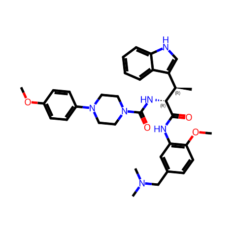 COc1ccc(N2CCN(C(=O)N[C@@H](C(=O)Nc3cc(CN(C)C)ccc3OC)[C@H](C)c3c[nH]c4ccccc34)CC2)cc1